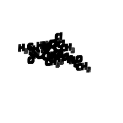 C=CC(=O)N1CC2(CC(n3nc(N4CCC(CN5CCN(C)CC5=O)CC4(C)C)c(-c4c(Cl)c(Cl)cc5[nH]ncc45)c3C)C2)C1